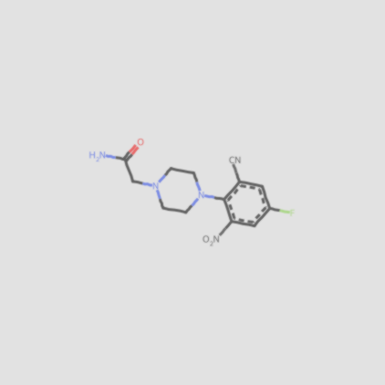 N#Cc1cc(F)cc([N+](=O)[O-])c1N1CCN(CC(N)=O)CC1